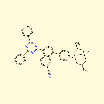 C[C@@H]1C[C@@H]2C[C@H](C)CC(c3ccc(-c4ccc(-c5nc(-c6ccccc6)nc(-c6ccccc6)n5)c5ccc(C#N)cc45)cc3)(C1)C2